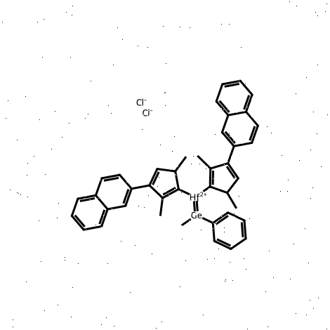 CC1=[C]([Hf+2]([C]2=C(C)C(c3ccc4ccccc4c3)=CC2C)=[Ge]([CH3])[c]2ccccc2)C(C)C=C1c1ccc2ccccc2c1.[Cl-].[Cl-]